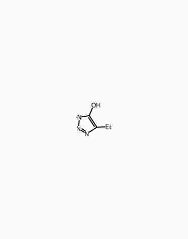 CCC1=C(O)[N]N=N1